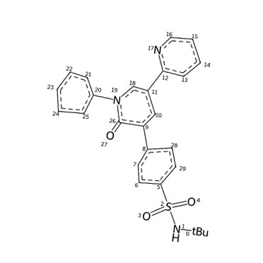 CC(C)(C)NS(=O)(=O)c1ccc(-c2cc(-c3ccccn3)cn(-c3ccccc3)c2=O)cc1